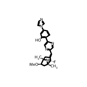 CO[C@@H]1C[C@]2(C)N[C@@]1(C)C/C(=C\c1cnc(-c3ccc(-n4ccnc4)cc3O)cn1)[C@@H]2F